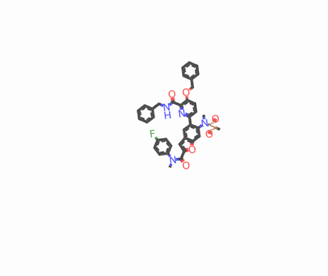 CN(C(=O)c1cc2cc(-c3ccc(OCc4ccccc4)c(C(=O)NCc4ccccc4)n3)c(N(C)S(C)(=O)=O)cc2o1)c1ccc(F)cc1